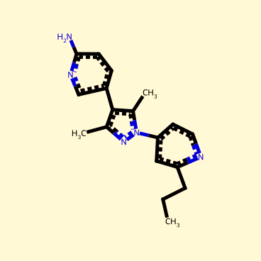 CCCc1cc(-n2nc(C)c(-c3ccc(N)nc3)c2C)ccn1